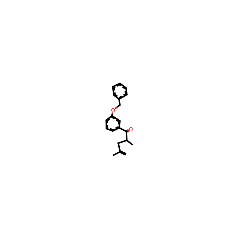 C=C(C)CC(C)C(=O)c1cccc(OCc2ccccc2)c1